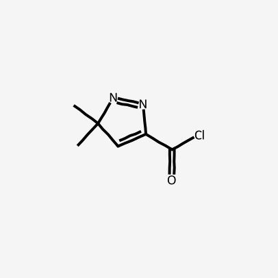 CC1(C)C=C(C(=O)Cl)N=N1